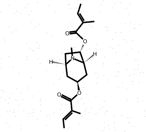 C/C=C(\C)C(=O)O[C@H]1C[C@H]2C[C@H](OC(=O)/C(C)=C/C)[C@@H](C1)N2C